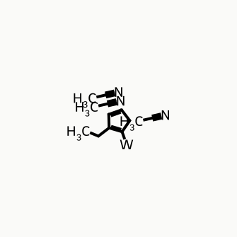 CC#N.CC#N.CC#N.CCC1=[C]([W])CC=C1